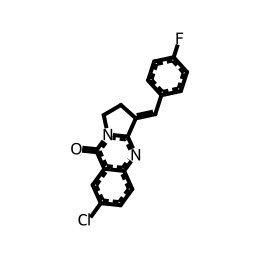 O=c1c2cc(Cl)ccc2nc2n1CCC2=Cc1ccc(F)cc1